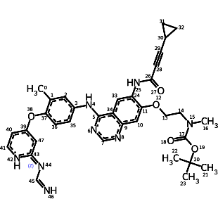 Cc1cc(Nc2ncnc3cc(OCCN(C)C(=O)OC(C)(C)C)c(NC(=O)C#CC4CC4)cc23)ccc1Oc1cc[nH]/c(=N\C=N)c1